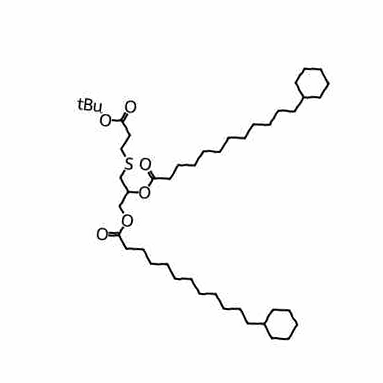 CC(C)(C)OC(=O)CCSCC(COC(=O)CCCCCCCCCCCC1CCCCC1)OC(=O)CCCCCCCCCCCC1CCCCC1